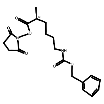 C[C@@H](CCCCNC(=O)OCc1ccccc1)C(=O)ON1C(=O)CCC1=O